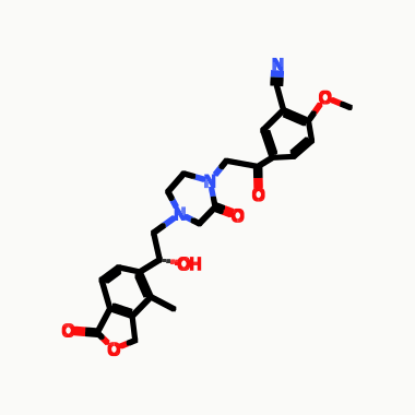 COc1ccc(C(=O)CN2CCN(C[C@H](O)c3ccc4c(c3C)COC4=O)CC2=O)cc1C#N